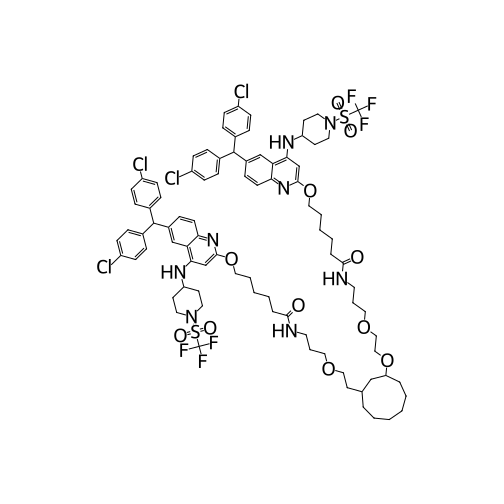 O=C(CCCCCOc1cc(NC2CCN(S(=O)(=O)C(F)(F)F)CC2)c2cc(C(c3ccc(Cl)cc3)c3ccc(Cl)cc3)ccc2n1)NCCCOCCOC1CCCCCCC(CCOCCCNC(=O)CCCCCOc2cc(NC3CCN(S(=O)(=O)C(F)(F)F)CC3)c3cc(C(c4ccc(Cl)cc4)c4ccc(Cl)cc4)ccc3n2)C1